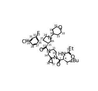 CCC(=O)N[C@@H](CC(C)(C)C)C(=O)N1CCN(C(=O)[C@@H]2CN(C3CCOCC3)C[C@H]2c2ccc(Cl)cc2F)CC12CC2